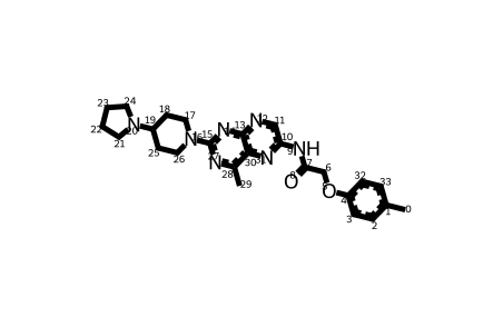 Cc1ccc(OCC(=O)Nc2cnc3nc(N4CCC(N5CCCC5)CC4)nc(C)c3n2)cc1